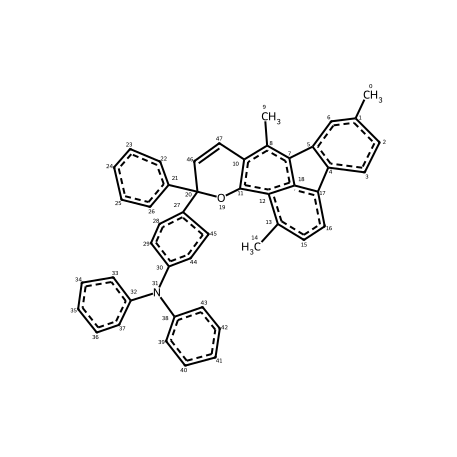 Cc1ccc2c(c1)-c1c(C)c3c(c4c(C)ccc-2c14)OC(c1ccccc1)(c1ccc(N(c2ccccc2)c2ccccc2)cc1)C=C3